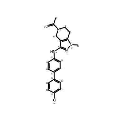 CC(=O)N1CCc2c(c(Nc3ccc(-c4ccc(Cl)cc4)cc3)nn2C)C1